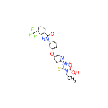 CCN(C(=O)O)C(=S)Nc1ccc(Oc2cccc(NC(=O)c3cccc(C(F)(F)F)c3)c2)cn1